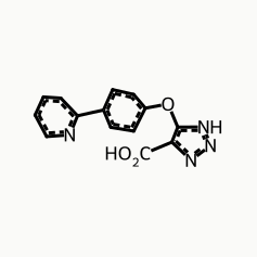 O=C(O)c1nn[nH]c1Oc1ccc(-c2ccccn2)cc1